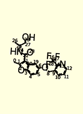 Cc1oc2ccc(OCc3cccnc3C(F)(F)F)cc2c1C(=O)NC(C)CO